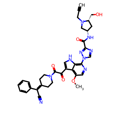 C#CCN1C[C@@H](NC(=O)c2ncn(-c3ncc(OC)c4c(C(=O)C(=O)N5CCC(=C(C#N)c6ccccc6)CC5)c[nH]c34)n2)C[C@H]1CO